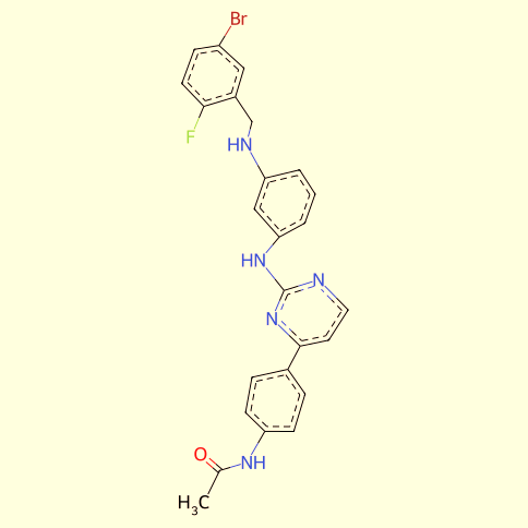 CC(=O)Nc1ccc(-c2ccnc(Nc3cccc(NCc4cc(Br)ccc4F)c3)n2)cc1